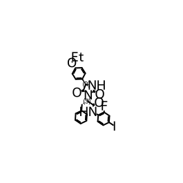 CCOc1ccc([C@H]2NC(=O)N([C@@H](Cc3ccccc3)C(=O)Nc3ccc(I)cc3F)C2=O)cc1